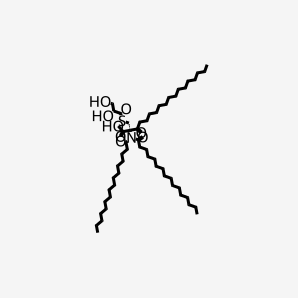 CCCCCCCCCCCCCCCC(=O)N(C(=O)CCCCCCCCCCCCCCC)[C@@](CSC(=O)C(O)CO)(C(=O)O)C(=O)CCCCCCCCCCCCCCC